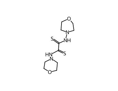 S=C(NN1CCOCC1)C(=S)NN1CCOCC1